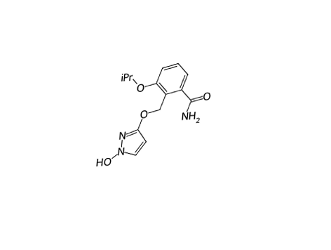 CC(C)Oc1cccc(C(N)=O)c1COc1ccn(O)n1